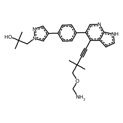 CC(C)(O)Cn1cc(-c2ccc(-c3cnc4[nH]ccc4c3C#CC(C)(C)COCN)cc2)cn1